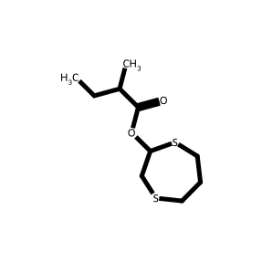 CCC(C)C(=O)OC1CSCCCS1